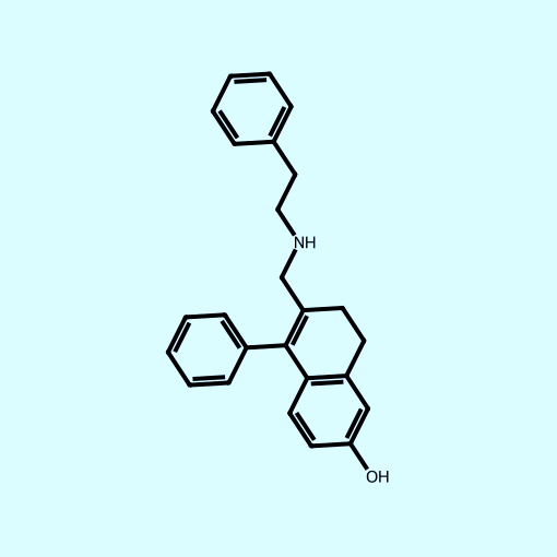 Oc1ccc2c(c1)CCC(CNCCc1ccccc1)=C2c1ccccc1